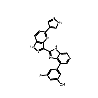 Oc1cc(F)cc(-c2cncc3[nH]c(-c4n[nH]c5ccc(-c6cn[nH]c6)nc45)nc23)c1